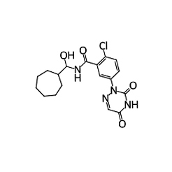 O=C(NC(O)C1CCCCCC1)c1cc(-n2ncc(=O)[nH]c2=O)ccc1Cl